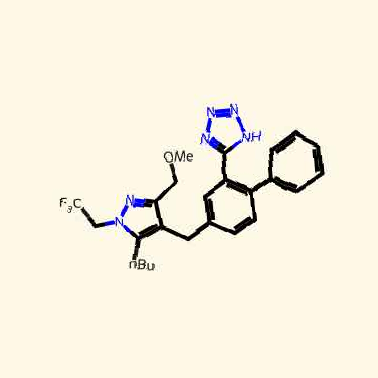 CCCCc1c(Cc2ccc(-c3ccccc3)c(-c3nnn[nH]3)c2)c(COC)nn1CC(F)(F)F